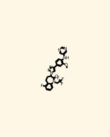 COc1cc(-c2cn(C3CCc4c(F)cccc4N(CC(F)(F)F)C3=O)nn2)ccc1Nc1cncnc1